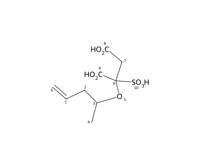 C=CCC(C)OC(CC(=O)O)(C(=O)O)S(=O)(=O)O